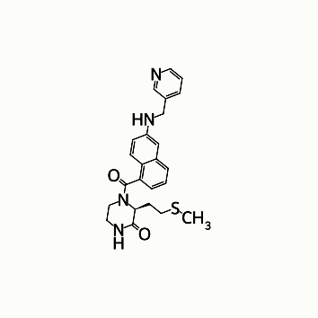 CSCC[C@H]1C(=O)NCCN1C(=O)c1cccc2cc(NCc3cccnc3)ccc12